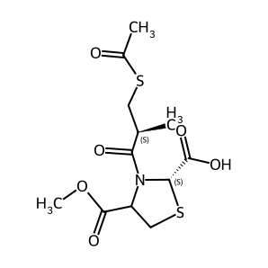 COC(=O)C1CS[C@@H](C(=O)O)N1C(=O)[C@H](C)CSC(C)=O